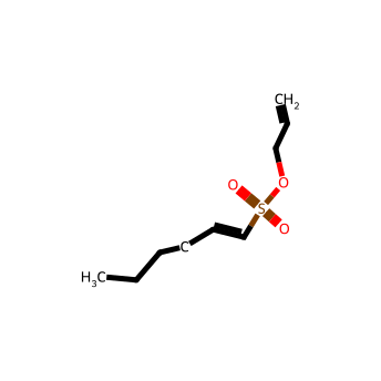 C=CCOS(=O)(=O)/C=C/CCCC